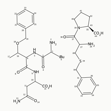 CCC(C)C(N)C(=O)NC(C(=O)NC(CC(N)=O)C(=O)O)C(C)OCc1ccccc1.NC(CSCc1ccccc1)C(=O)N1CCC[C@H]1C(=O)O